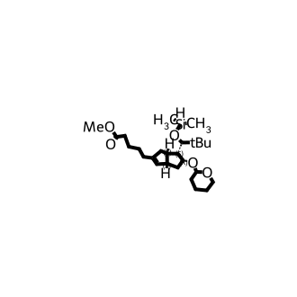 COC(=O)CCCCC1=C[C@H]2C[C@@H](OC3CCCCO3)[C@@H](C(O[SiH](C)C)C(C)(C)C)[C@H]2C1